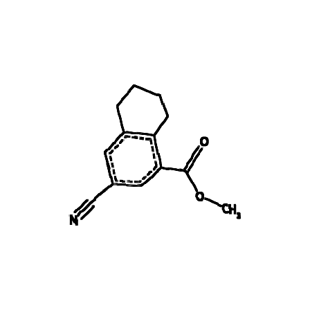 COC(=O)c1cc(C#N)cc2c1CCCC2